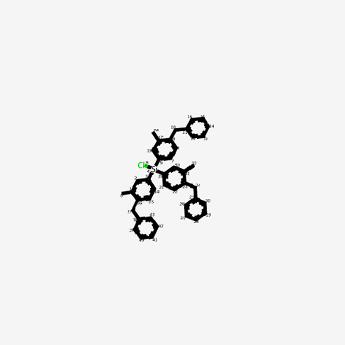 Cc1cc([Si](Cl)(c2ccc(Cc3ccccc3)c(C)c2)c2ccc(Cc3ccccc3)c(C)c2)ccc1Cc1ccccc1